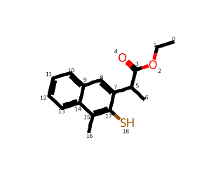 CCOC(=O)C(C)c1cc2ccccc2c(C)c1S